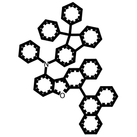 c1ccc(N(c2ccc3c(c2)C(c2ccccc2)(c2ccccc2)c2ccccc2-3)c2cccc3oc4c(-c5cc6ccccc6c6ccccc56)c5ccccc5cc4c23)cc1